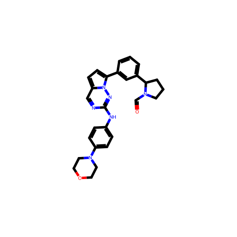 O=CN1CCCC1c1cccc(-c2ccc3cnc(Nc4ccc(N5CCOCC5)cc4)nn23)c1